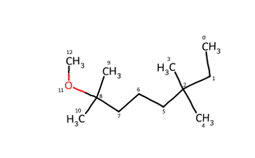 CCC(C)(C)CCCC(C)(C)OC